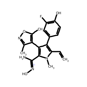 C=Cc1c(-c2ccc(O)c(F)c2)c(-c2c(C)noc2C)c(/C(N)=N/O)n1C